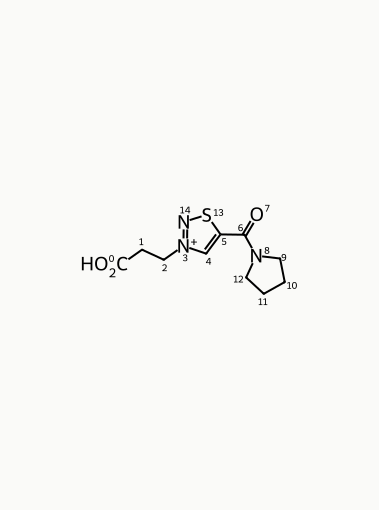 O=C(O)CC[n+]1cc(C(=O)N2CCCC2)sn1